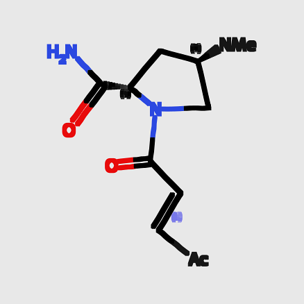 CN[C@@H]1C[C@@H](C(N)=O)N(C(=O)/C=C/C(C)=O)C1